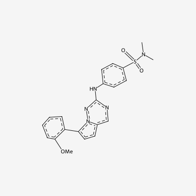 COc1ccccc1-c1ccc2cnc(Nc3ccc(S(=O)(=O)N(C)C)cc3)nn12